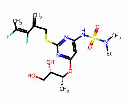 C=C(CSc1nc(NS(=O)(=O)N(C)CC)cc(O[C@H](C)[C@@H](O)CO)n1)/C(F)=C(\C)F